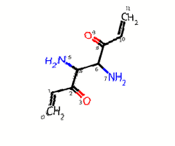 C=CC(=O)C(N)C(N)C(=O)C=C